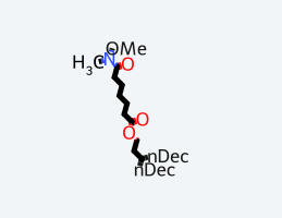 CCCCCCCCCCC(CCCCCCCCCC)CCOC(=O)CCCCCC(=O)N(C)OC